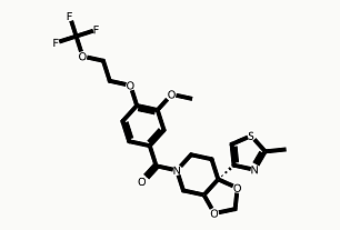 COc1cc(C(=O)N2CC[C@@]3(c4csc(C)n4)OCOC3C2)ccc1OCCOC(F)(F)F